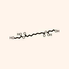 O=C(CCCCCCCCC(=O)OC(O)CCCO)OC(O)CCCO